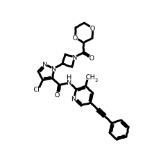 Cc1cc(C#Cc2ccccc2)cnc1NC(=O)c1c(Cl)cnn1C1CN(C(=O)C2COCCO2)C1